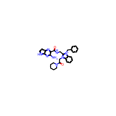 Nc1nc2[nH]ccc2nc1C(=O)NCc1n(CC(=O)N2CCCCC2)c2ccccc2[n+]1Cc1ccccc1